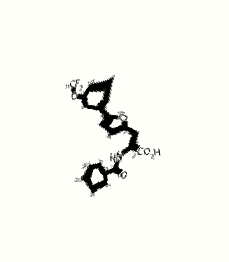 O=C(O)C(=Cc1ccc(-c2cccc(OC(F)(F)F)c2)o1)NC(=O)c1ccccc1